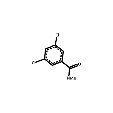 CNC(=O)c1[c]c(Cl)cc(Cl)c1